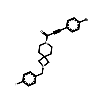 O=C(C#Cc1ccc(Br)cc1)N1CCC2(CC1)CN(Cc1ccc(F)cc1)C2